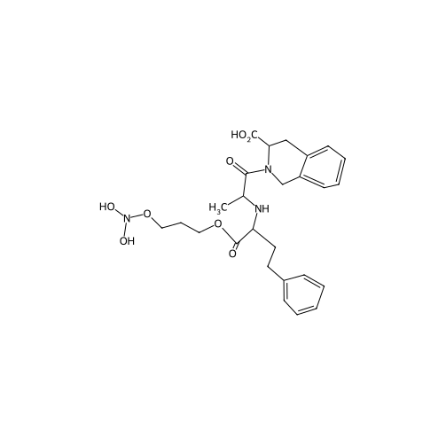 CC(NC(CCc1ccccc1)C(=O)OCCCON(O)O)C(=O)N1Cc2ccccc2CC1C(=O)O